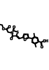 CCOC(=O)CN1C(=O)S/C(=C\c2ccc(-c3cc(C)c(C(=O)O)cc3C)o2)C1=O